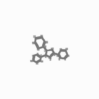 c1ccc(C2=NC(c3ccccc3)C(c3ccccc3)C2)cc1